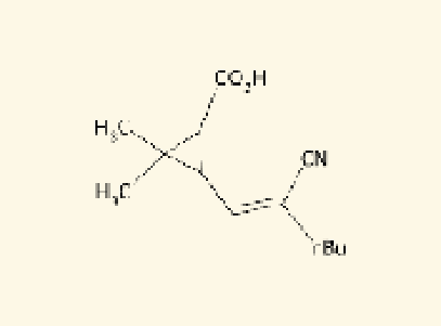 CCCC/C(C#N)=C/C1C(C(=O)O)C1(C)C